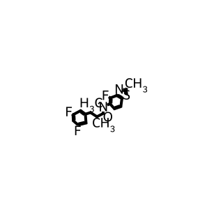 Cc1nc2c(F)c(N(C)C(=O)[C@@H](C)Cc3cc(F)cc(F)c3)ccc2s1